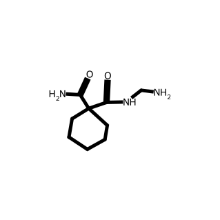 NCNC(=O)C1(C(N)=O)CCCCC1